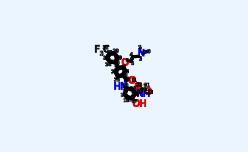 CN(C)CCCOc1cc(C(=O)Nc2ccc(O)c(NS(C)(=O)=O)c2)ccc1-c1ccc(C(F)(F)F)cc1